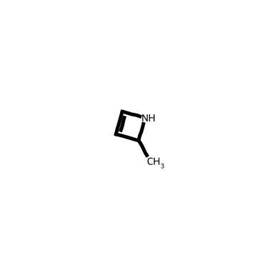 CC1C=CN1